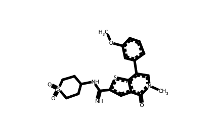 COc1cccc(-c2cn(C)c(=O)c3cc(C(=N)NC4CCS(=O)(=O)CC4)sc23)c1